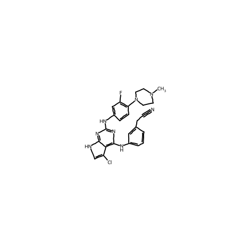 CN1CCN(c2ccc(Nc3nc(Nc4cccc(CC#N)c4)c4c(Cl)c[nH]c4n3)cc2F)CC1